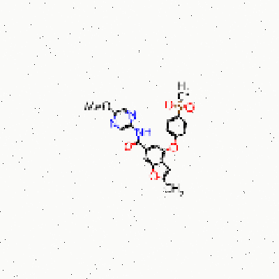 COc1cnc(NC(=O)c2cc(Oc3ccc(S(C)(=O)=O)cc3)c3cc(C)oc3c2)cn1